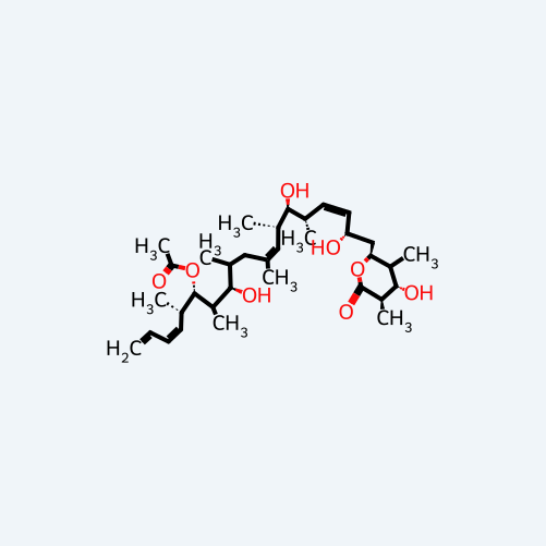 C=C/C=C\[C@H](C)[C@H](OC(C)=O)C(C)[C@H](O)C(C)C/C(C)=C\[C@H](C)[C@@H](O)[C@@H](C)/C=C\[C@@H](O)C[C@@H]1OC(=O)[C@H](C)[C@@H](O)C1C